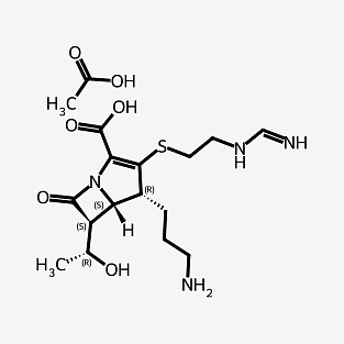 CC(=O)O.C[C@@H](O)[C@H]1C(=O)N2C(C(=O)O)=C(SCCNC=N)[C@H](CCCN)[C@H]12